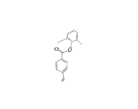 Cc1cccc(C)c1OC(=O)c1ccc(F)cc1